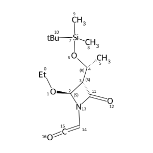 CCO[C@H]1[C@H]([C@@H](C)O[Si](C)(C)C(C)(C)C)C(=O)N1C=C=O